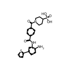 Nc1ccc(-c2cccs2)cc1NC(=O)c1ccc(C(=O)N2CCC(P(=O)(O)O)CC2)cc1